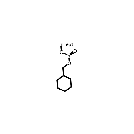 CCCCCCCOS(=O)OCC1CCCCC1